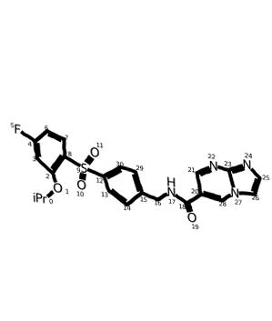 CC(C)Oc1cc(F)ccc1S(=O)(=O)c1ccc(CNC(=O)c2cnc3nccn3c2)cc1